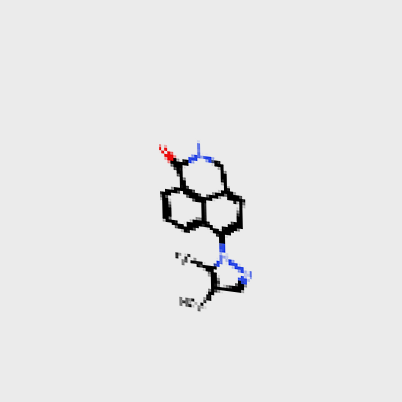 O=C(O)c1cnn(-c2ccc3c4c(cccc24)C(=O)NC3)c1C(F)(F)F